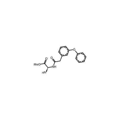 CCC[C@H](NC(=O)Cc1cccc(Oc2ccccc2)c1)C(=O)OC